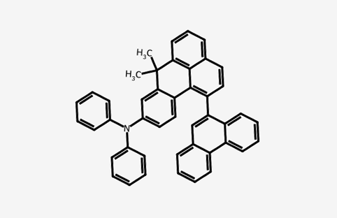 CC1(C)c2cc(N(c3ccccc3)c3ccccc3)ccc2-c2c(-c3cc4ccccc4c4ccccc34)ccc3cccc1c23